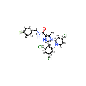 Cc1c(C(=O)NCc2ccc(F)cc2)nc(-c2ccc(Cl)cc2Cl)n1-c1cc(Cl)ccn1